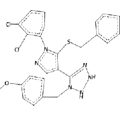 COc1ccc(CN2NNN=C2c2cnn(-c3cccc(Cl)c3Cl)c2SCc2ccccc2)cc1